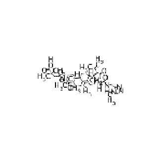 CC(C)C1=C2[C@H]3CC[C@@H]4[C@@]5(C)CC[C@H](OC(=O)CC(C)(C)C(=O)O)C(C)(C)[C@@H]5CC[C@@]4(C)[C@]3(C)CC[C@@]2(NC(=O)NCc2nncn2C)CC1=O